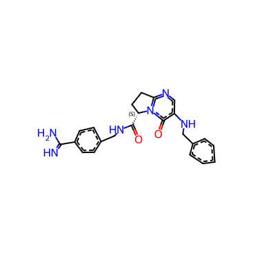 N=C(N)c1ccc(CNC(=O)[C@@H]2CCc3ncc(NCc4ccccc4)c(=O)n32)cc1